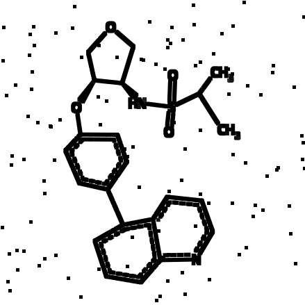 CC(C)S(=O)(=O)N[C@@H]1COC[C@@H]1Oc1ccc(-c2cccc3ncccc23)cc1